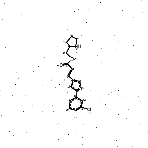 O=C(/C=C/n1cnc(-c2cccc(Cl)c2)n1)OCC1CCCN1